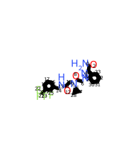 NC(=O)c1nn(CC(=O)N(CC(=O)NCc2cccc(C(F)(F)F)c2F)C2CC2)c2ccccc12